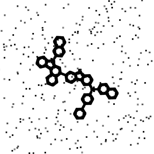 c1ccc(-c2ccc(N(c3ccc4ccccc4c3)c3ccc4sc5cc(-c6cc7c(c8ccccc68)c6ccccc6n7-c6ccc7ccccc7c6)ccc5c4c3)cc2)cc1